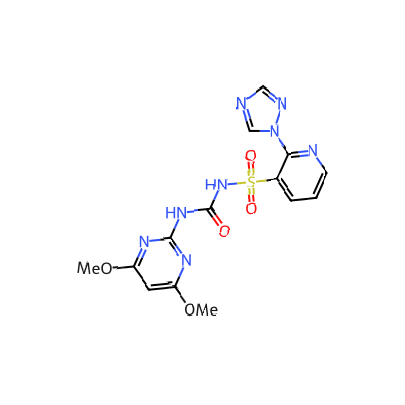 COc1cc(OC)nc(NC(=O)NS(=O)(=O)c2cccnc2-n2cncn2)n1